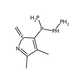 C=S1N=C(C)C(C)=C1P(P)PP